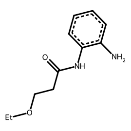 CCOCCC(=O)Nc1ccccc1N